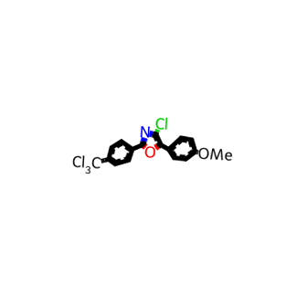 COc1ccc(-c2oc(-c3ccc(C(Cl)(Cl)Cl)cc3)nc2Cl)cc1